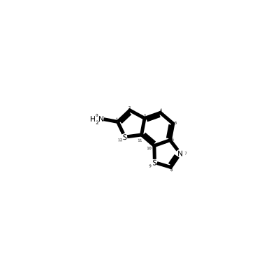 Nc1cc2ccc3ncsc3c2s1